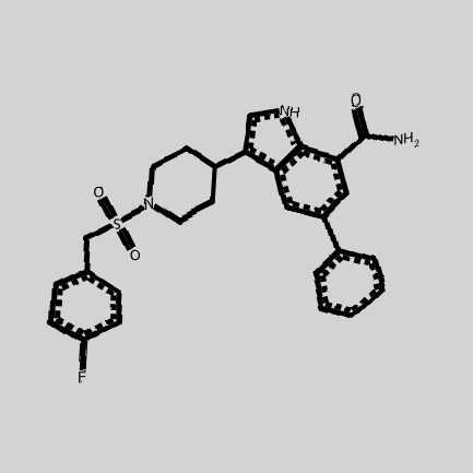 NC(=O)c1cc(-c2ccccc2)cc2c(C3CCN(S(=O)(=O)Cc4ccc(F)cc4)CC3)c[nH]c12